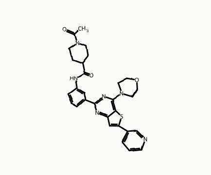 CC(=O)N1CCC(C(=O)Nc2cccc(-c3nc(N4CCOCC4)c4sc(-c5cccnc5)cc4n3)c2)CC1